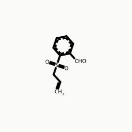 C=CCS(=O)(=O)c1ccccc1C=O